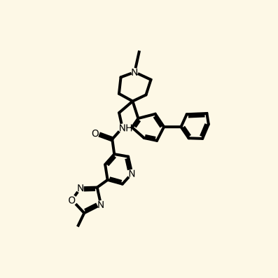 Cc1nc(-c2cncc(C(=O)NCC3(c4cccc(-c5ccccc5)c4)CCN(C)CC3)c2)no1